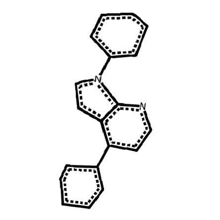 c1ccc(-c2ccnc3c2ccn3-c2ccccc2)cc1